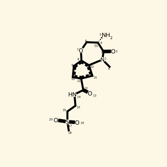 CN1C(=O)[C@@H](N)COc2ccc(C(=O)NCCS(C)(=O)=O)cc21